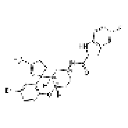 NC1=NC2(CS1)c1cc(Br)ccc1O[C@H]1CC[C@H](NC(=O)c3cc4cc(F)ccc4[nH]3)C[C@@H]12